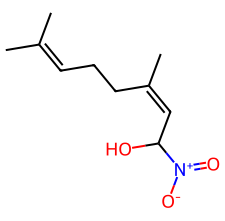 CC(C)=CCC/C(C)=C\C(O)[N+](=O)[O-]